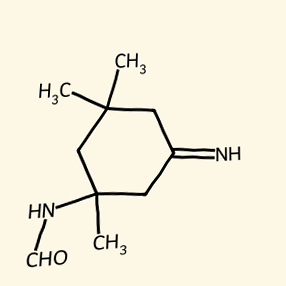 CC1(C)CC(=N)CC(C)(NC=O)C1